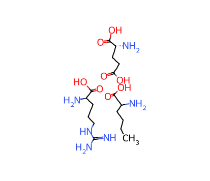 CCCCC(N)C(=O)O.N=C(N)NCCC[C@@H](N)C(=O)O.N[C@H](CCC(=O)O)C(=O)O